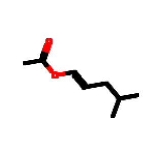 CC(=O)OC=CCC(C)C